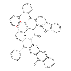 O=C1N2c3cc4oc5ccccc5c(=O)c4cc3B(c3ccccc3)c3ccc4ccc5c(c4c32)N1c1c(ccc2c1oc1ccccc12)B5c1ccccc1-c1ccccc1